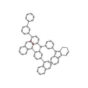 C1=Cc2c(n(-c3cccc(N(c4ccc(-c5cccc(-c6ccccc6)c5)cc4)c4cc(-c5cccc6ccccc56)ccc4-c4cccc5ccccc45)c3)c3ccccc23)CC1